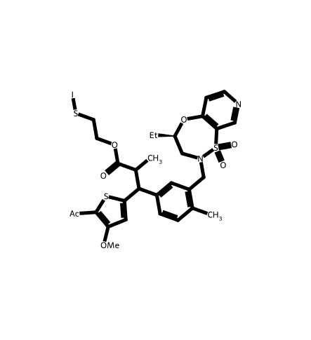 CC[C@@H]1CN(Cc2cc(C(c3cc(OC)c(C(C)=O)s3)C(C)C(=O)OCCSI)ccc2C)S(=O)(=O)c2cnccc2O1